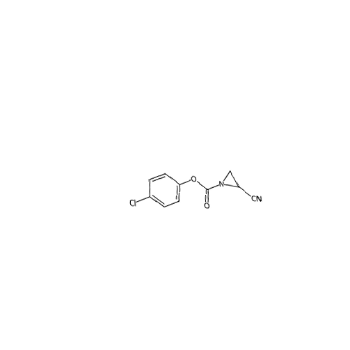 N#CC1CN1C(=O)Oc1ccc(Cl)cc1